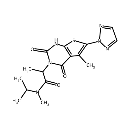 Cc1c(-n2nccn2)sc2[nH]c(=O)n(C(C)C(=O)N(C)C(C)C)c(=O)c12